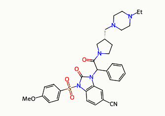 CCN1CCN(C[C@@H]2CCN(C(=O)C(c3ccccc3)n3c(=O)n(S(=O)(=O)c4ccc(OC)cc4)c4ccc(C#N)cc43)C2)CC1